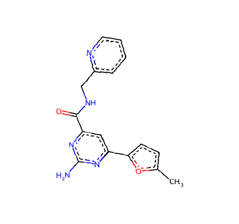 Cc1ccc(-c2cc(C(=O)NCc3ccccn3)nc(N)n2)o1